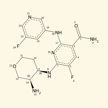 NC(=O)c1cc(F)c(N[C@@H]2CCOC[C@@H]2N)nc1Nc1cncc(F)c1